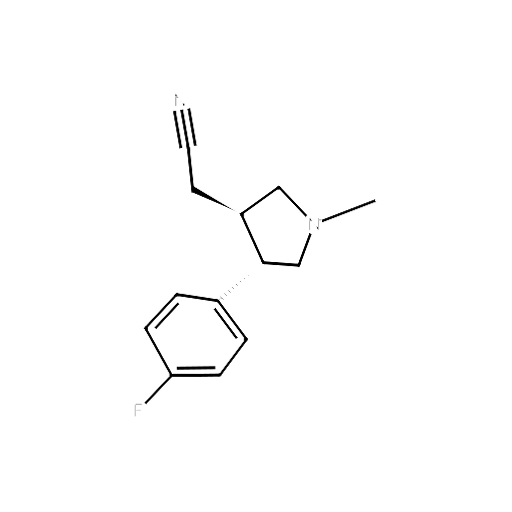 CN1C[C@H](CC#N)[C@@H](c2ccc(F)cc2)C1